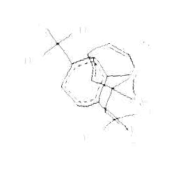 CCC12C=CC=C[N+]1(c1cc(C(C)(C)C)ccc1C(C)(C)C)N2.[Ni]